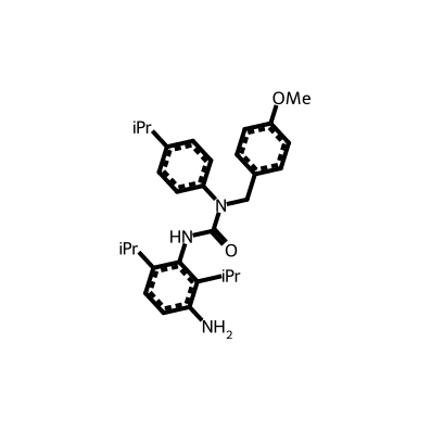 COc1ccc(CN(C(=O)Nc2c(C(C)C)ccc(N)c2C(C)C)c2ccc(C(C)C)cc2)cc1